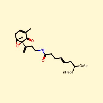 C=C(CCNC(=O)CC/C=C/C[C@H](CCCCCCC)OC)[C@@]12O[C@@H]1CC=C(C)C2=O